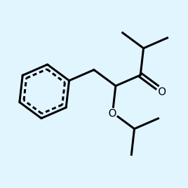 CC(C)OC(Cc1ccccc1)C(=O)C(C)C